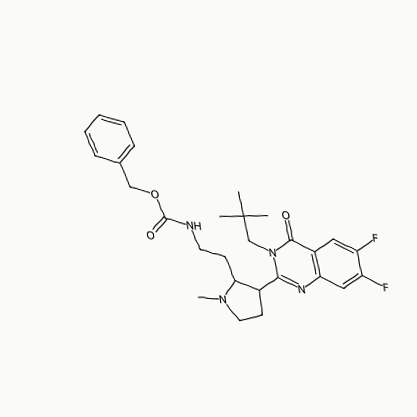 CN1CCC(c2nc3cc(F)c(F)cc3c(=O)n2CC(C)(C)C)C1CCNC(=O)OCc1ccccc1